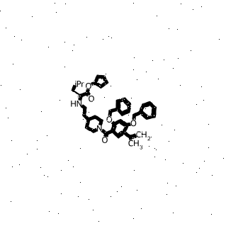 C=C(C)c1cc(C(=O)N2CCC(CCN[C@@H](CC(C)C)C(=O)OC3CCCC3)CC2)c(OCc2ccccc2)cc1OCc1ccccc1